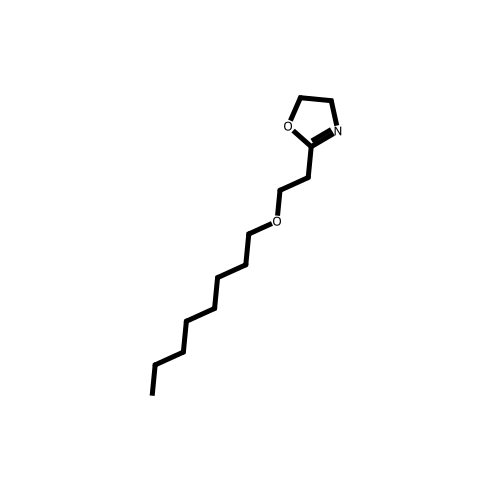 CCCCCCCCOCCC1=NCCO1